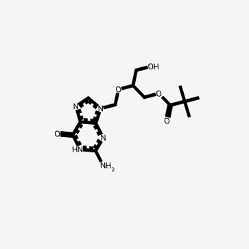 CC(C)(C)C(=O)OCC(CO)OCn1cnc2c(=O)[nH]c(N)nc21